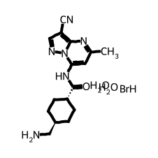 Br.Cc1cc(NC(=O)[C@H]2CC[C@H](CN)CC2)n2ncc(C#N)c2n1.O.O